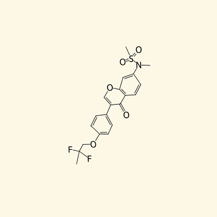 CN(c1ccc2c(=O)c(-c3ccc(OCC(C)(F)F)cc3)coc2c1)S(C)(=O)=O